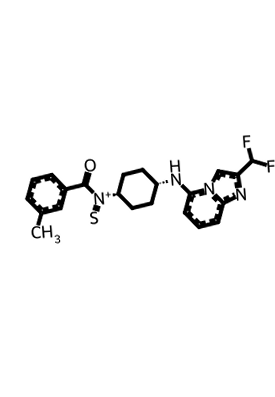 Cc1cccc(C(=O)[N+](=S)[C@H]2CC[C@@H](Nc3cccc4nc(C(F)F)cn34)CC2)c1